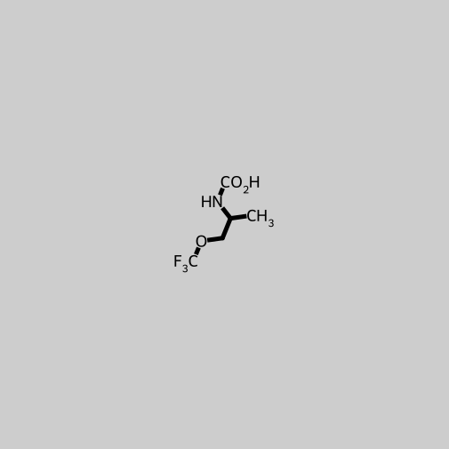 CC(COC(F)(F)F)NC(=O)O